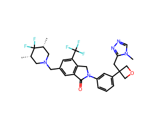 C[C@@H]1CN(Cc2cc3c(c(C(F)(F)F)c2)CN(c2cccc(C4(Cc5nncn5C)COC4)c2)C3=O)C[C@H](C)C1(F)F